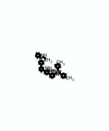 CCC1Nc2ccccc2N1c1ccc(-c2cccc(-c3ccc(-c4cccc(C5=NC(c6ccc(C)cc6)=NC(c6ccc(C)cc6)N5)c4)c(N)c3N)c2)cc1